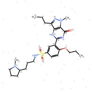 CCCOc1ccc(S(=O)(=O)NCCCC2CCCN2C)cc1-c1nc(=O)c2c([nH]1)c(CCC)nn2C